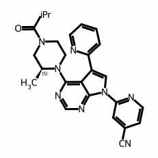 CC(C)C(=O)N1CCN(c2ncnc3c2c(-c2ccccn2)cn3-c2cc(C#N)ccn2)[C@@H](C)C1